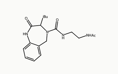 CCC(C)C1C(=O)Nc2ccccc2CN1C(=O)NCCNC(C)=O